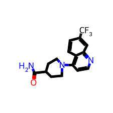 NC(=O)C1CCN(c2ccnc3cc(C(F)(F)F)ccc23)CC1